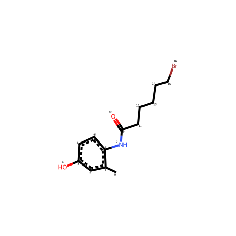 Cc1cc(O)ccc1NC(=O)CCCCCBr